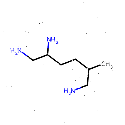 CC(CN)CCC(N)CN